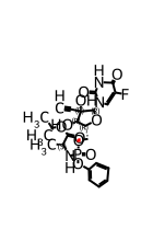 C#C[C@@]1(O)[C@H](O)[C@@H](COP(=O)(N[C@@H](C)C(=O)OC(C)C)Oc2ccccc2)O[C@H]1n1cc(F)c(=O)[nH]c1=O